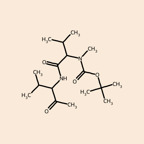 CC(=O)C(NC(=O)C(C(C)C)N(C)C(=O)OC(C)(C)C)C(C)C